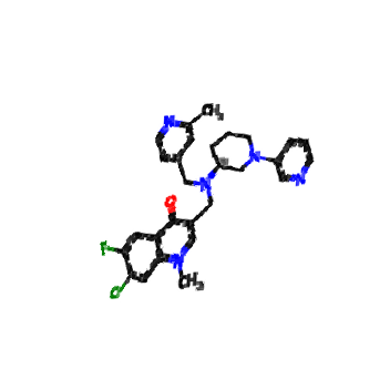 Cc1cc(CN(Cc2cn(C)c3cc(Cl)c(F)cc3c2=O)[C@H]2CCCN(c3cccnc3)C2)ccn1